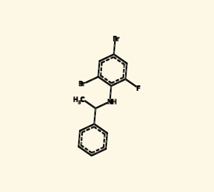 CC(Nc1c(F)cc(Br)cc1Br)c1ccccc1